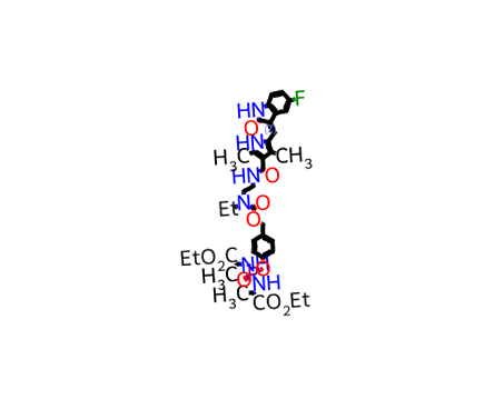 CCOC(=O)C(C)NP(=O)(NC(C)C(=O)OCC)Oc1ccc(COC(=O)N(CC)CCNC(=O)c2c(C)[nH]c(/C=C3\C(=O)Nc4ccc(F)cc43)c2C)cc1